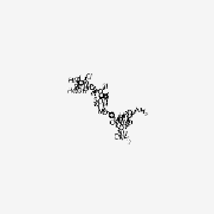 CC(=O)NC(CCCCN)C(=O)NC(C(=O)NC(CCCNC(N)=O)C(=O)Nc1ccc(COC(=S)N(C)CCN(C)C(=S)Oc2cc3c(c4c(C)c[nH]c24)C(CCl)CN3C(=O)C23CC4(C(=O)N5CC(CCl)c6c5cc(OP(O)O)c5[nH]cc(C)c65)CC24C3)cc1)C(C)C